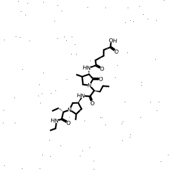 CCC[C@@H](C(=O)N[C@H]1CC(C)N([C@@H](CC)C(=O)NCC)C1)N1CC(C)[C@H](NC(=O)CCCC(=O)O)C1=O